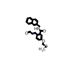 COCOc1ccc(/C=C/C=O)c(C(=O)NCc2ccc3ccccc3c2)c1